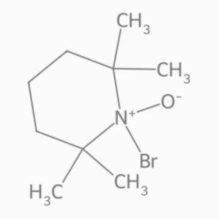 CC1(C)CCCC(C)(C)[N+]1([O-])Br